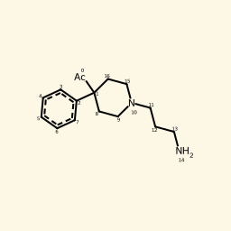 CC(=O)C1(c2ccccc2)CCN(CCCN)CC1